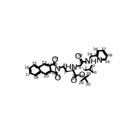 CC(C)C[C@H](N[C@H](CCN1C(=O)c2cc3ccccc3cc2C1=O)C(=O)OC(C)(C)C)C(=O)NCc1ccccn1